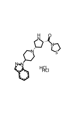 Cl.Cl.O=C([C@@H]1C[C@H](N2CCC(n3ncc4ccccc43)CC2)CN1)N1CCSC1